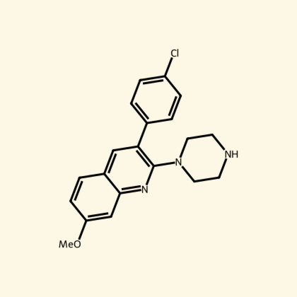 COc1ccc2cc(-c3ccc(Cl)cc3)c(N3CCNCC3)nc2c1